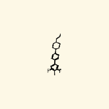 CCCC1CCC(c2ccc(-c3cc(F)c(C)c(F)c3)cc2)CC1